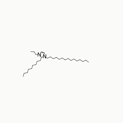 CCCCCCCCCCCCCCCN1C=CN(CCC)C1CCCCCCCCC